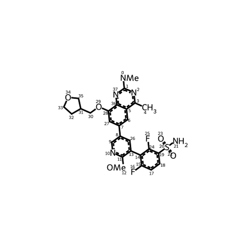 CNc1nc(C)c2cc(-c3cnc(OC)c(-c4c(F)ccc(S(N)(=O)=O)c4F)c3)cc(OCC3CCOC3)c2n1